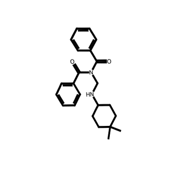 CC1(C)CCC(NCN(C(=O)c2ccccc2)C(=O)c2ccccc2)CC1